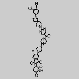 C[C@H]1CC2(CCN(c3ncc(C(=O)N4CCN(C5CCN(c6cc7c(cc6F)C(=O)N(C6CCC(=O)NC6=O)C7=O)CC5)CC4)cn3)CC2)CN1c1ccc(C#N)c(Cl)c1